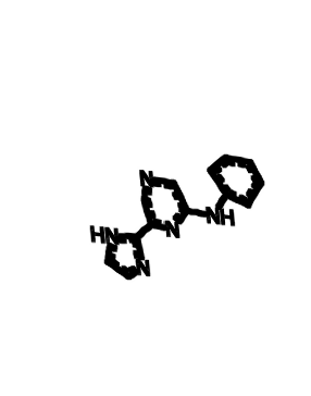 c1ccc(Nc2cncc(-c3ncc[nH]3)n2)cc1